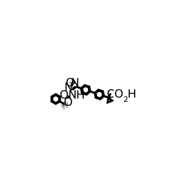 C[C@@H](OC(=O)Nc1nonc1-c1ccc(-c2ccc(C3(C(=O)O)CC3)cc2)cc1)c1ccccc1